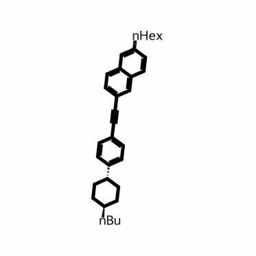 CCCCCCc1ccc2cc(C#Cc3ccc([C@H]4CC[C@H](CCCC)CC4)cc3)ccc2c1